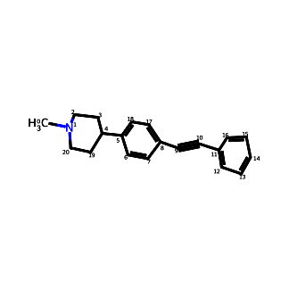 CN1CCC(c2ccc(C#Cc3ccccc3)cc2)CC1